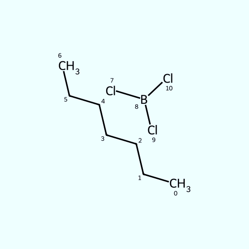 CCCCCCC.ClB(Cl)Cl